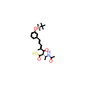 CC(=O)NC(C)[C@H](C(=O)S)C(=O)/C(C)=C/C=C/c1cccc(O[Si](C)(C)C(C)(C)C)c1